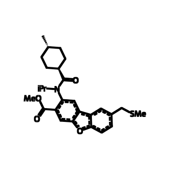 COC(=O)c1cc2oc3ccc(CSC)cc3c2cc1N(C(=O)[C@H]1CC[C@H](C)CC1)C(C)C